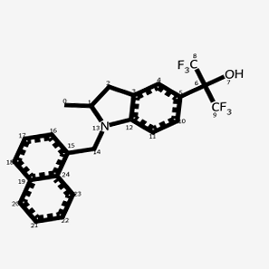 CC1Cc2cc(C(O)(C(F)(F)F)C(F)(F)F)ccc2N1Cc1cccc2ccccc12